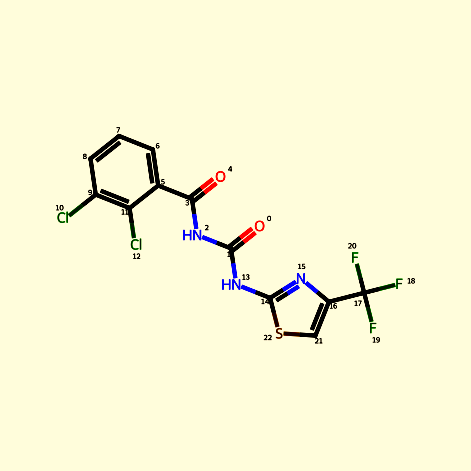 O=C(NC(=O)c1cccc(Cl)c1Cl)Nc1nc(C(F)(F)F)cs1